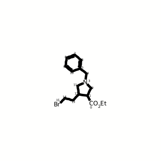 CCOC(=O)C1CN(Cc2ccccc2)CC1CCBr